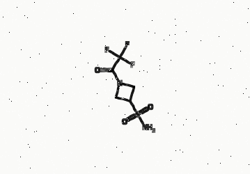 NS(=O)(=O)C1CN(C(=O)C(F)(F)F)C1